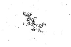 COc1cc2c(cc1-c1cccc(NC(=O)CN3CCN(CC(=O)O)CCN(CC(=O)O)CCN(CC(=O)O)CC3)c1)-c1c(c(C(=O)N3CCOCC3(C)C)nn1-c1cc(Cl)cc(Cl)c1)CO2